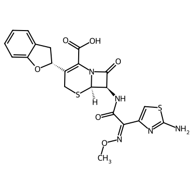 CO/N=C(\C(=O)N[C@@H]1C(=O)N2C(C(=O)O)=C([C@H]3Cc4ccccc4O3)CS[C@H]12)c1csc(N)n1